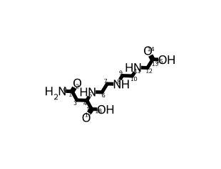 NC(=O)CC(NCCNCCNCC(=O)O)C(=O)O